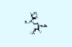 C=CC(=O)N(CCN(C(=O)C=C)C(C)(C)C)C(C)(C)C